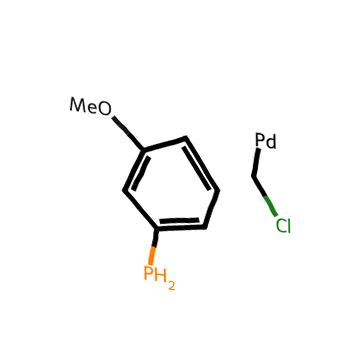 COc1cccc(P)c1.Cl[CH2][Pd]